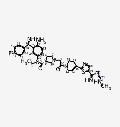 CCN(C(=O)[C@@H]1CCN(CC(=O)N2CC=C(c3ncc(C(=N)/N=C\NC)s3)CC2)C1)c1ccc(N)c(C(=N)c2ccc(F)cc2)c1